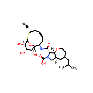 C#C[C@@H]1C/C=C\C[C@@H](NC(=O)[C@@H]2[C@@H]3OCC[C@@H](CC(C)C)C[C@H]3CN2C(=O)O)[C@H]2O[C@H](S1)[C@H](O)[C@@H](O)[C@H]2O